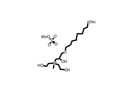 CCCCCCCCCCCCCCCCCCOCC(O)C[N+](C)(CCO)CCO.COS(=O)(=O)[O-]